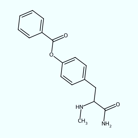 CNC(Cc1ccc(OC(=O)c2ccccc2)cc1)C(N)=O